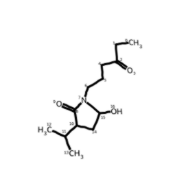 CCC(=O)CCCN1C(=O)C(C(C)C)CC1O